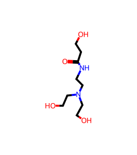 O=C(CCO)NCCN(CCO)CCO